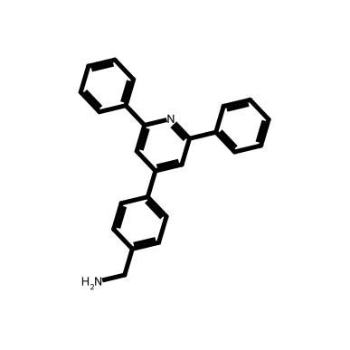 NCc1ccc(-c2cc(-c3ccccc3)nc(-c3ccccc3)c2)cc1